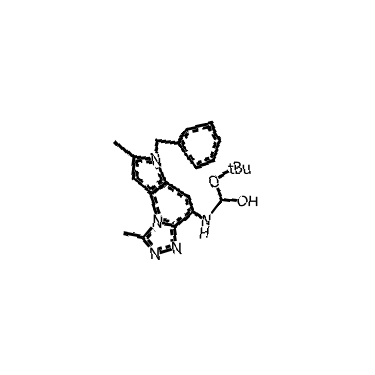 Cc1cc2c(cc(NC(O)OC(C)(C)C)c3nnc(C)n32)n1Cc1ccccc1